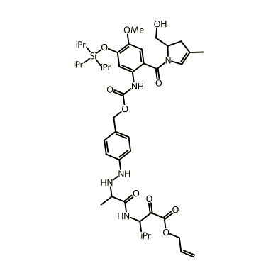 C=CCOC(=O)C(=O)C(NC(=O)C(C)NNc1ccc(COC(=O)Nc2cc(O[Si](C(C)C)(C(C)C)C(C)C)c(OC)cc2C(=O)N2C=C(C)CC2CO)cc1)C(C)C